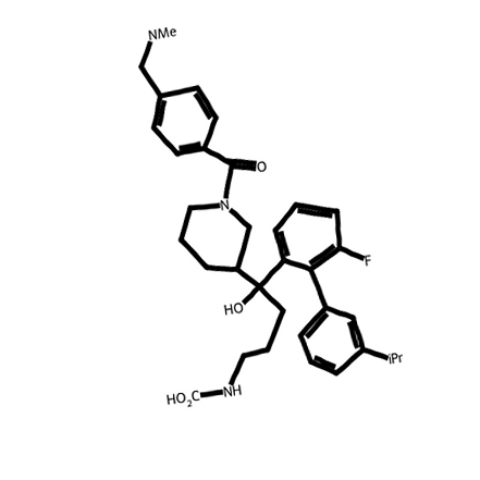 CNCc1ccc(C(=O)N2CCCC(C(O)(CCCNC(=O)O)c3cccc(F)c3-c3cccc(C(C)C)c3)C2)cc1